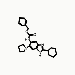 O=C(Nc1cc2nc(C3CCCCC3)[nH]c2cc1N1CCCC1)OCc1ccccc1